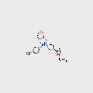 Cc1cnc(C2CCC(N3CC4COCCN4CC3Cc3ccc(Cl)cc3)CC2)o1